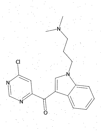 CN(C)CCCn1cc(C(=O)c2cc(Cl)ncn2)c2ccccc21